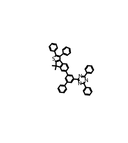 CC1(C)c2cc(-c3cc(-c4ccccc4)cc(-c4nc(-c5ccccc5)nc(-c5ccccc5)n4)c3)ccc2-c2c1sc(-c1ccccc1)c2-c1ccccc1